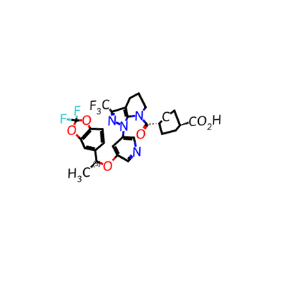 C[C@H](Oc1cncc(-n2nc(C(F)(F)F)c3c2N(C(=O)[C@H]2CC[C@H](C(=O)O)CC2)CCC3)c1)c1ccc2c(c1)OC(F)(F)O2